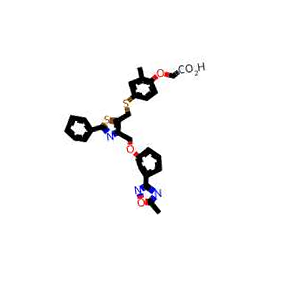 Cc1nc(-c2cccc(OCc3nc(-c4ccccc4)sc3CSc3ccc(OCC(=O)O)c(C)c3)c2)no1